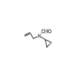 C=CCN([C]=O)C1CC1